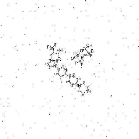 NCC(Cn1ncn(-c2ccc(-c3ccc(N4CCNCC4)cc3)nc2)c1=O)=C(F)F.O=C(O)C(F)(F)F.O=C(O)C(F)(F)F